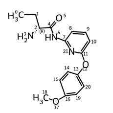 CC[C@@H](N)C(=O)Nc1cccc(Oc2ccc(OC)cc2)n1